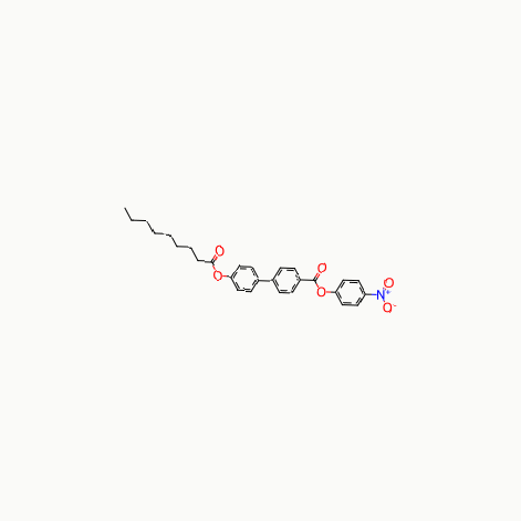 CCCCCCCCC(=O)Oc1ccc(-c2ccc(C(=O)Oc3ccc([N+](=O)[O-])cc3)cc2)cc1